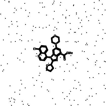 COC(=O)c1cc(N2CCOCC2)cc2c1nc(C1CCCO1)n2-c1ccnc2c(Cl)cccc12